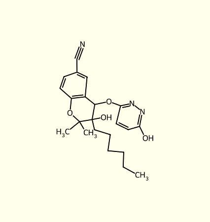 CCCCCCC1(O)C(Oc2ccc(O)nn2)c2cc(C#N)ccc2OC1(C)C